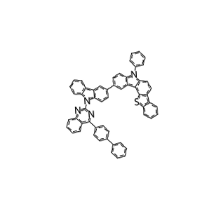 c1ccc(-c2ccc(-c3nc(-n4c5ccccc5c5cc(-c6ccc7c(c6)c6c8sc9ccccc9c8ccc6n7-c6ccccc6)ccc54)nc4ccccc34)cc2)cc1